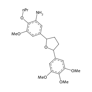 CCCOc1c(N)cc(C2CCC(c3cc(OC)c(OC)c(OC)c3)O2)cc1OC